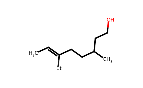 C/C=C(\CC)CCC(C)CCO